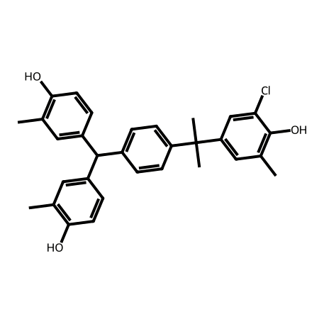 Cc1cc(C(c2ccc(C(C)(C)c3cc(C)c(O)c(Cl)c3)cc2)c2ccc(O)c(C)c2)ccc1O